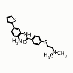 CN(C)CCSc1ccc(C(=O)Nc2cc(-c3cccs3)ccc2N)cc1